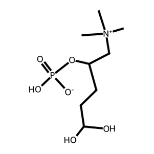 C[N+](C)(C)CC(CCC(O)O)OP(=O)([O-])O